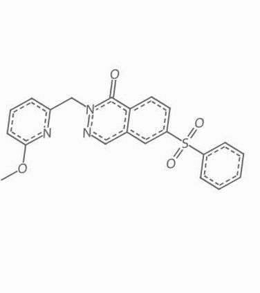 COc1cccc(Cn2ncc3cc(S(=O)(=O)c4ccccc4)ccc3c2=O)n1